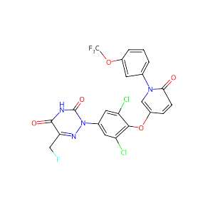 O=c1[nH]c(=O)n(-c2cc(Cl)c(Oc3ccc(=O)n(-c4cccc(OC(F)(F)F)c4)c3)c(Cl)c2)nc1CF